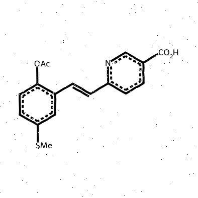 CSc1ccc(OC(C)=O)c(C=Cc2ccc(C(=O)O)cn2)c1